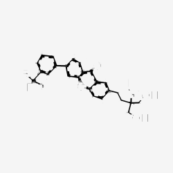 NC(CO)(CO)CCc1ccc2oc3cc(-c4cccc(C(F)(F)F)c4)ccc3c(=O)c2c1